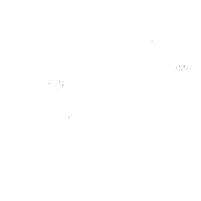 COC(=O)CCc1cc(-c2ccccc2)c(OCC2CCCCC2)c([N+](=O)[O-])c1